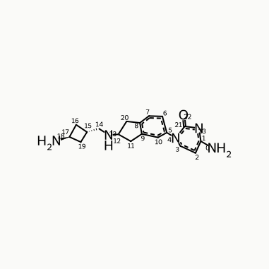 Nc1ccn(-c2ccc3c(c2)CC(NC[C@H]2C[C@H](N)C2)C3)c(=O)n1